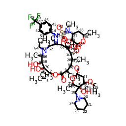 CC[C@H]1OC(=O)[C@H](C)[C@@H](O[C@H]2C[C@@](C)(OC)[C@](O)(CN3CCCCC3)[C@H](C)O2)[C@H](C)[C@@H](O[C@@H]2O[C@H](C)C[C@H](N(C)S(=O)(=O)Nc3ccc(C(F)(F)F)cc3)[C@H]2O)[C@](C)(O)C[C@@H](C)CN(CC)[C@H](C)[C@@H](O)[C@]1(C)O